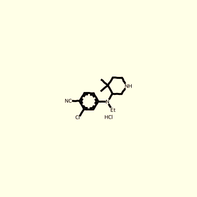 CCN(c1ccc(C#N)c(Cl)c1)C1CNCCC1(C)C.Cl